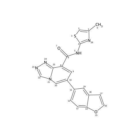 Cc1csc(NC(=O)c2cc(-c3ccc4occc4c3)cn3cnnc23)n1